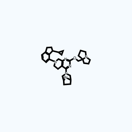 c1cc2c(c(N3CCc4c(nc(OCC56CCCN5CCC6)nc4N4CC5CCC(C4)N5)C3)c1)C(C1CC1)CC2